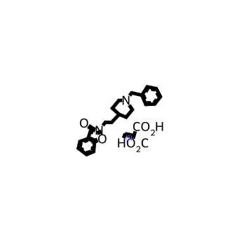 O=C(O)/C=C/C(=O)O.O=c1c2ccccc2on1CCC1CCN(Cc2ccccc2)CC1